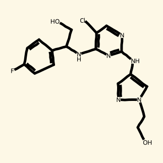 OCCn1cc(Nc2ncc(Cl)c(NC(CO)c3ccc(F)cc3)n2)cn1